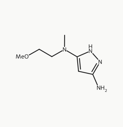 COCCN(C)c1cc(N)n[nH]1